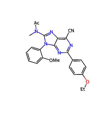 CCOc1ccc(-c2nc(C#N)c3nc(N(C)C(C)=O)n(-c4ccccc4OC)c3n2)cc1